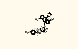 Cc1ccc(S(=O)(=O)O[C@@H]2[C@@H]3O[C@@H]3[C@H](OCC34CC5C(C)CCC5C5(C6OCCO6)CC3C=C(C(C)C)C45C(=O)O)O[C@@H]2C)cc1